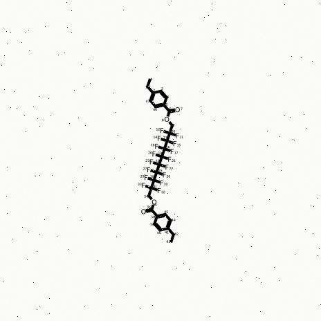 CCc1ccc(C(=O)OCC(F)(F)C(F)(F)C(F)(F)C(F)(F)C(F)(F)C(F)(F)C(F)(F)C(F)(F)COC(=O)c2ccc(CC)cc2)cc1